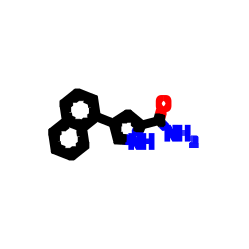 NC(=O)c1cc(-c2cccc3ccccc23)c[nH]1